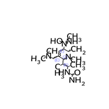 C=C\C(=C/C(=C\N(C)C)C(=N/C)/C(C)=C(\C)NC(N)=O)N(O)NC